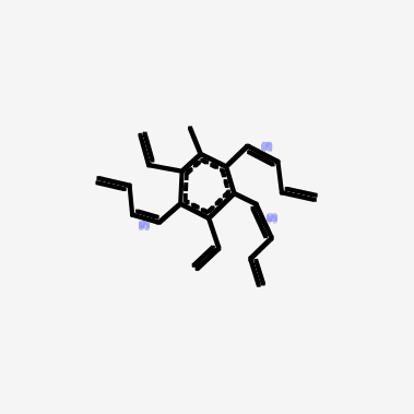 C=C/C=C\c1c(C=C)c(C)c(/C=C\C=C)c(/C=C\C=C)c1C=C